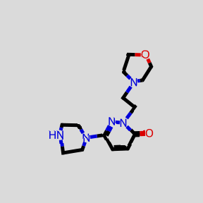 O=c1ccc(N2CCNCC2)nn1CCN1CCOCC1